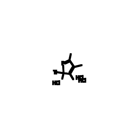 CC1=P[C](C)([Ti])C(C)=C1C.Cl.Cl.Cl